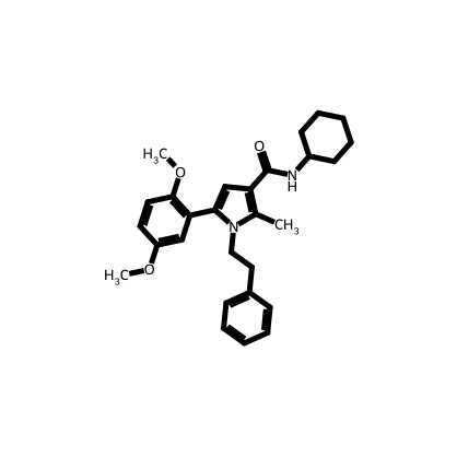 COc1ccc(OC)c(-c2cc(C(=O)NC3CCCCC3)c(C)n2CCc2ccccc2)c1